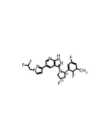 CC1C=C(F)C=C([C@H]2C[C@H](F)CN2c2n[nH]c3ncc(-c4ccn(CC(F)F)n4)cc23)C1F